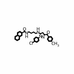 Cc1ccc(C(=O)C2=NN(c3ccc(Cl)cc3)C(NCCCCNC(=O)c3ccc4ccccc4c3)C2)cc1